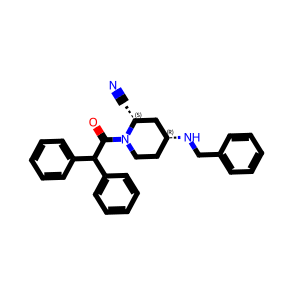 N#C[C@@H]1C[C@H](NCc2ccccc2)CCN1C(=O)C(c1ccccc1)c1ccccc1